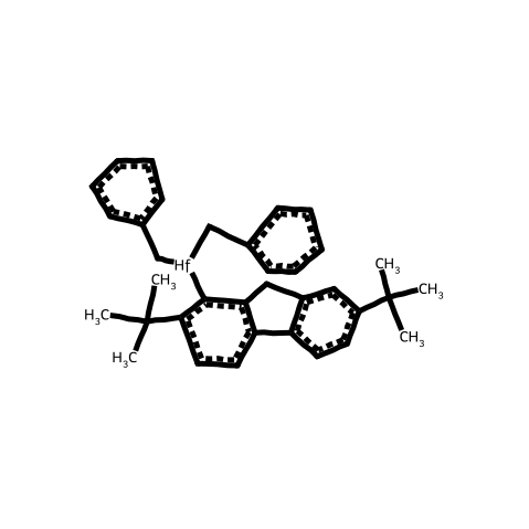 CC(C)(C)c1ccc2c(c1)Cc1c-2ccc(C(C)(C)C)[c]1[Hf]([CH2]c1ccccc1)[CH2]c1ccccc1